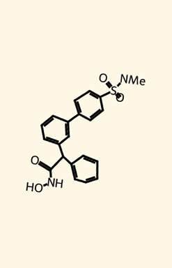 CNS(=O)(=O)c1ccc(-c2cccc(C(C(=O)NO)c3ccccc3)c2)cc1